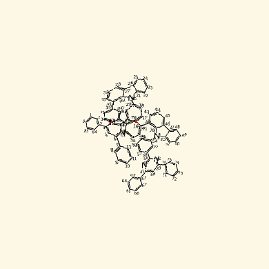 c1ccc(-c2cc(-c3ccccc3)nc(-c3cccc(-n4c5ccccc5c5cccc(-c6cccc(-c7cccc(-c8cccc9c%10ccccc%10n(-c%10cccc(-c%11nc(-c%12ccccc%12)cc(-c%12ccccc%12)n%11)c%10)c89)c7)c6)c54)c3)n2)cc1